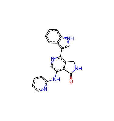 O=C1NCc2c(-c3c[nH]c4ccccc34)ncc(Nc3ccccn3)c21